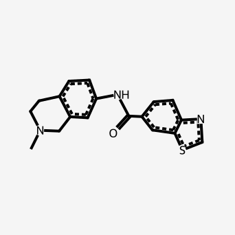 CN1CCc2ccc(NC(=O)c3ccc4ncsc4c3)cc2C1